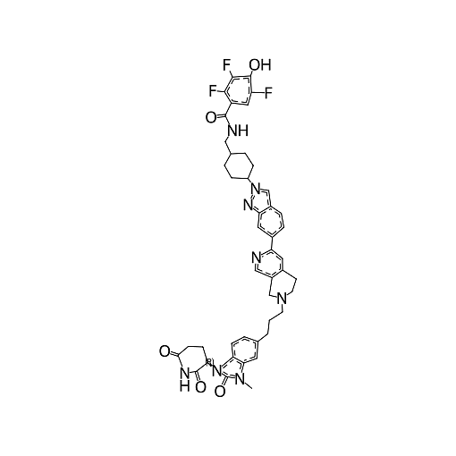 Cn1c(=O)n([C@@H]2CCC(=O)NC2=O)c2ccc(CCCN3CCc4cc(-c5ccc6cn(C7CCC(CNC(=O)c8cc(F)c(O)c(F)c8F)CC7)nc6c5)ncc4C3)cc21